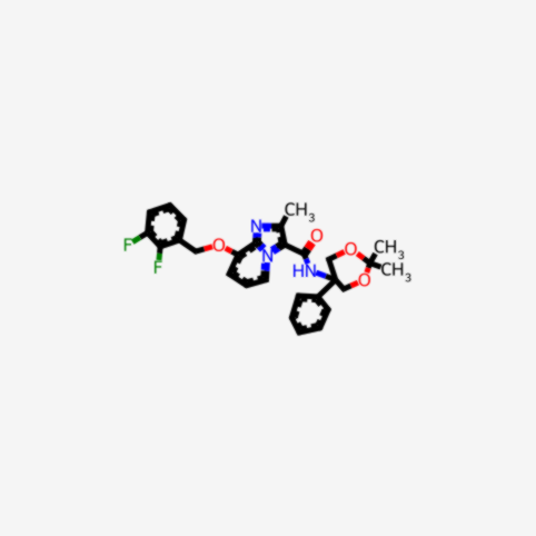 Cc1nc2c(OCc3cccc(F)c3F)cccn2c1C(=O)NC1(c2ccccc2)COC(C)(C)OC1